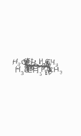 CCO[Si](C)(C)CN1CC(COCCCCOCC2CN(C[Si](C)(C)OCC)C[Si](C)(C)O2)O[Si](C)(C)C1